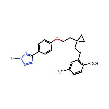 CCn1nnc(-c2ccc(OCCC3(CCc4cc(C)ccc4S(=O)(=O)O)CC3)cc2)n1